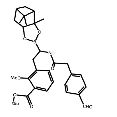 COc1c(CC(NC(=O)Cc2ccc(C=O)cc2)B2OC3CC4CC(C4(C)C)C3(C)O2)cccc1C(=O)OC(C)(C)C